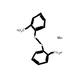 O=C(O)c1ccccc1SSc1ccccc1C(=O)O.[Mn]